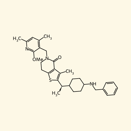 COc1nc(C)cc(C)c1CN1CCc2sc([C@H](C)C3CCC(NCc4ccccc4)CC3)c(C)c2C1=O